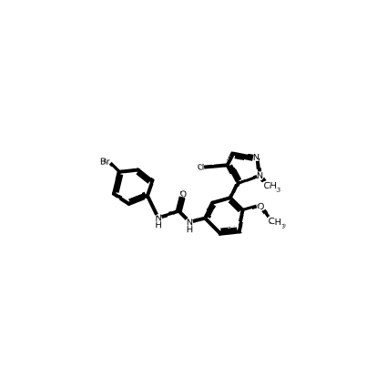 COc1ccc(NC(=O)Nc2ccc(Br)cc2)cc1-c1c(Cl)cnn1C